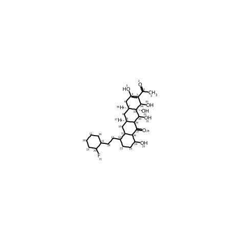 CC(=O)C1=C(O)C[C@@H]2C[C@@H]3CC4C(CCC5CCCCC5F)CCC(O)C4C(=O)C3C(O)[C@]2(O)C1O